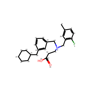 Cc1ccc(F)c(CN(CCC(=O)O)Cc2cccc(CC3CCCCC3)c2)c1